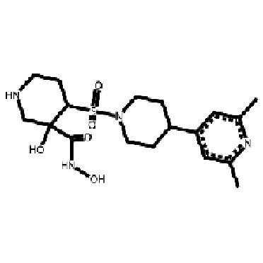 Cc1cc(C2CCN(S(=O)(=O)C3CCNCC3(O)C(=O)NO)CC2)cc(C)n1